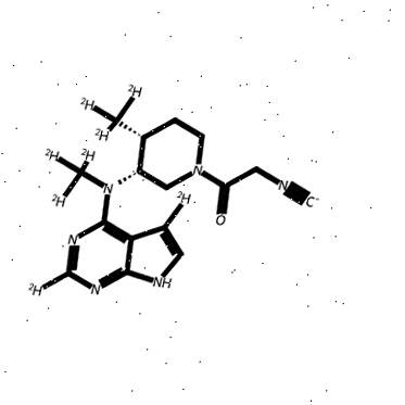 [2H]c1nc(N([C@H]2CN(C(=O)C[N+]#[C-])CC[C@H]2C([2H])([2H])[2H])C([2H])([2H])[2H])c2c([2H])c[nH]c2n1